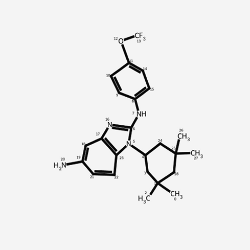 CC1(C)CC(n2c(Nc3ccc(OC(F)(F)F)cc3)nc3cc(N)ccc32)CC(C)(C)C1